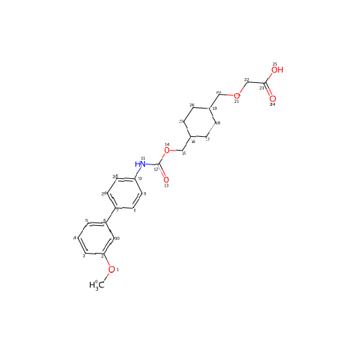 COc1cccc(-c2ccc(NC(=O)OCC3CCC(COCC(=O)O)CC3)cc2)c1